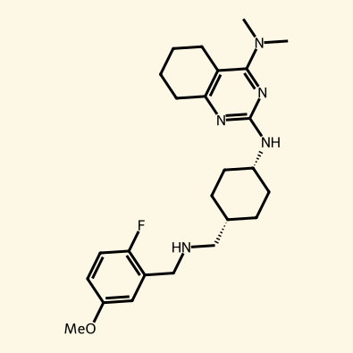 COc1ccc(F)c(CNC[C@H]2CC[C@@H](Nc3nc4c(c(N(C)C)n3)CCCC4)CC2)c1